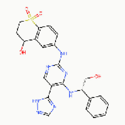 O=S1(=O)CCC(O)c2cc(Nc3ncc(-c4ncn[nH]4)c(N[C@H](CO)c4ccccc4)n3)ccc21